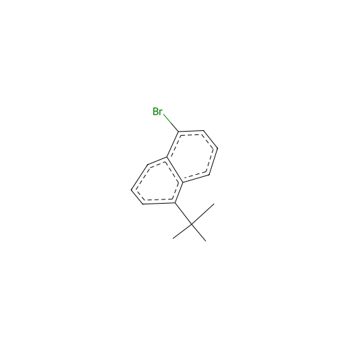 CC(C)(C)c1cccc2c(Br)cccc12